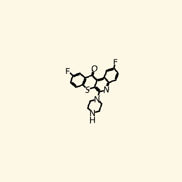 O=c1c2cc(F)ccc2sc2c(N3CCNCC3)nc3ccc(F)cc3c12